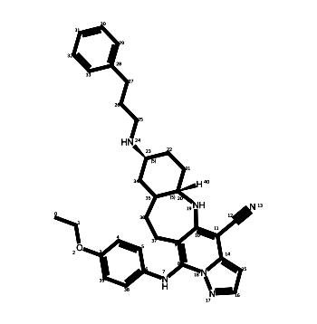 CCOc1ccc(Nc2c3c(c(C#N)c4ccnn24)N[C@H]2CC[C@H](NCCCc4ccccc4)CC2CC3)cc1